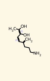 C=C(/C=C\C(O)=C(/C)O)CCCN